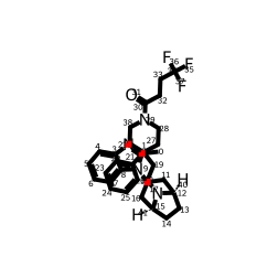 Cc1nc2ccccc2n1C1C[C@H]2CC[C@@H](C1)N2CCC1(c2ccccc2)CCN(C(=O)CCC(F)(F)F)CC1